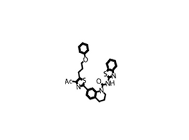 CC(=O)c1nc(-c2ccc3c(c2)N(C(=O)Nc2nc4ccccc4s2)CCC3)sc1CCCOc1ccccc1